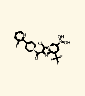 O=C(c1nc2c(C(F)(F)F)cc(B(O)O)cn2c1Cl)N1CC=C(c2ncccc2F)CC1